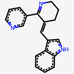 C(=C1CCCN=C1c1cccnc1)c1c[nH]c2ccccc12